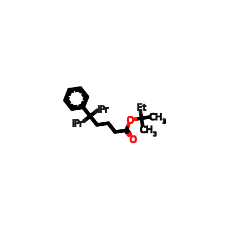 CCC(C)(C)OC(=O)CCCC(c1ccccc1)(C(C)C)C(C)C